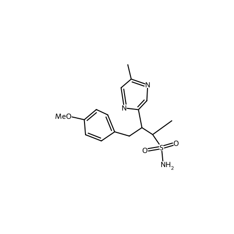 COc1ccc(CC(c2cnc(C)cn2)C(C)S(N)(=O)=O)cc1